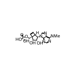 CNc1ncnc2c1ncn2[C@H]1[C@H](O)[C@H](O)[C@]2(COP(=O)(O)O)C=C[C@H]12